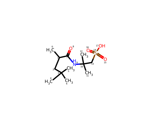 CC(CC(C)(C)C)C(=O)NC(C)(C)CS(=O)(=O)O